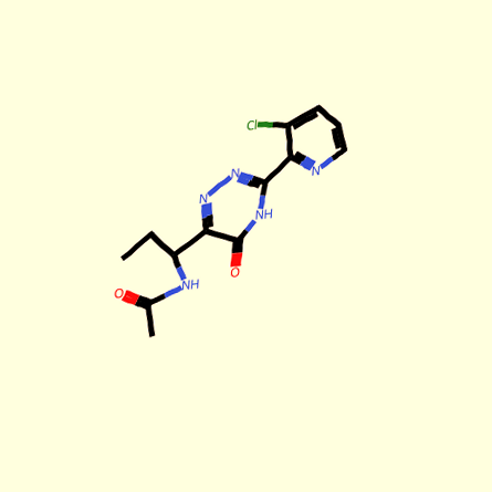 CCC(NC(C)=O)c1nnc(-c2ncccc2Cl)[nH]c1=O